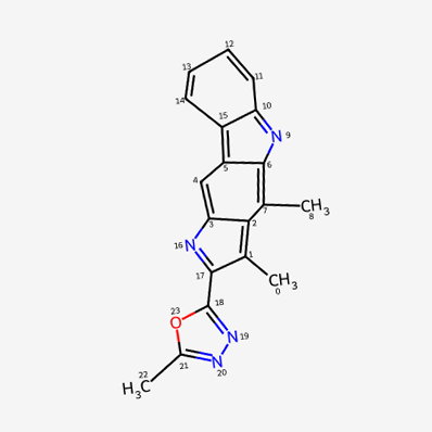 CC1=c2c(cc3c(c2C)N=c2ccccc2=3)N=C1c1nnc(C)o1